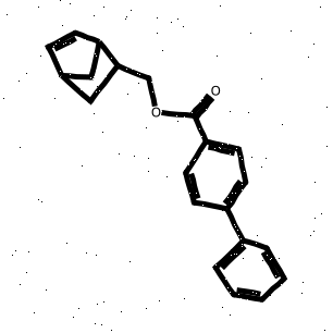 O=C(OCC1CC2C=CC1C2)c1ccc(-c2ccccc2)cc1